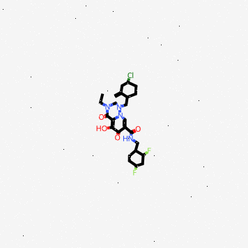 C=C1CC(Cl)CCC1CN1CN(CC)C(=O)c2c(O)c(=O)c(C(=O)NCC3CCC(F)CC3F)cn21